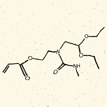 C=CC(=O)OCCN(CC(OCC)OCC)C(=O)NC